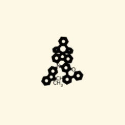 CC1(C)c2ccccc2-c2ccc(N(c3ccc4c(c3)-c3ccccc3-c3ccccc3O4)c3cccc4c3-c3ccccc3C43c4ccccc4-c4ccccc4-c4ccccc43)cc21